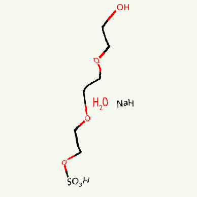 O.O=S(=O)(O)OCCOCCOCCO.[NaH]